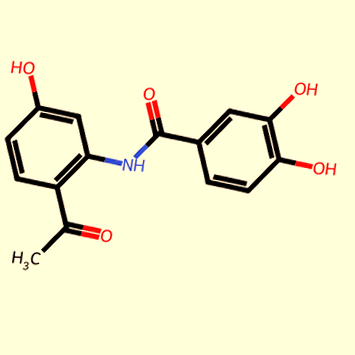 CC(=O)c1ccc(O)cc1NC(=O)c1ccc(O)c(O)c1